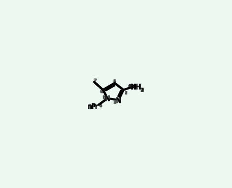 CCCn1nc(N)cc1C